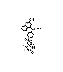 CC[C@]1(CS(=O)(=O)N2CCC(C(OC)c3cc(C)nc4ccccc34)CC2)NC(=O)NC1=O